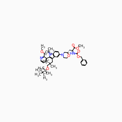 CCn1c(-c2cccnc2[C@H](C)OC)c(CC(C)(C)CO[Si](C)(C)C(C)(C)C)c2cc(N3CCO[C@@H](C[C@H](NC(=O)OCc4ccccc4)C(=O)OC)C3)ccc21